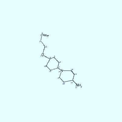 COCCOC1CCC(N2CCC(N)CC2)CC1